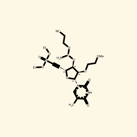 CCOP(=O)(C#C[C@H]1O[C@@H](n2cc(C)c(=O)[nH]c2=O)[C@H](OCCOC)[C@@H]1OP(N)OCCC#N)OCC